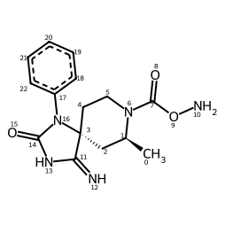 C[C@H]1C[C@]2(CCN1C(=O)ON)C(=N)NC(=O)N2c1ccccc1